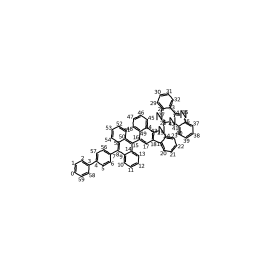 c1ccc(-c2ccc(-c3c4ccccc4c(-c4cc5c6ccccc6n(-c6nc7ccccc7c7nc8ccccc8n67)c5c5ccccc45)c4ccccc34)cc2)cc1